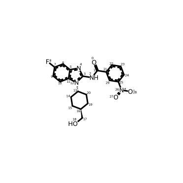 O=C(Nc1nc2cc(F)ccc2n1[C@H]1CC[C@H](CO)CC1)c1cccc([N+](=O)[O-])c1